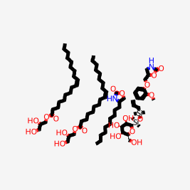 C=CC[Si](C)(C)O[Si](C)(C)[C@@H]1O[C@H](CO)[C@@H](O)[C@H](O)[C@H]1O.CCCCCCCC/C=C\CCCCCCCC(=O)OCC(O)CO.CCCCCCCC/C=C\CCCCCCCC(=O)OCC(O)CO.CCCCCCCCCCC1COC(=O)N1.COc1ccccc1OCC1CNC(=O)O1